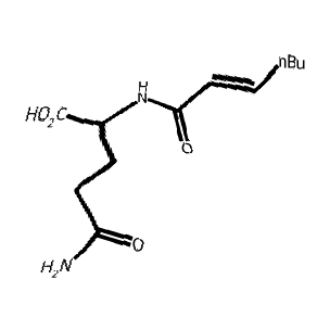 CCCC/C=C/C(=O)NC(CCC(N)=O)C(=O)O